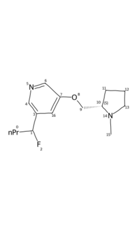 CCCC(F)c1cncc(OC[C@@H]2CCCN2C)c1